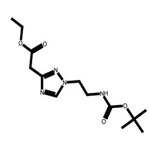 CCOC(=O)Cc1ncn(CCNC(=O)OC(C)(C)C)n1